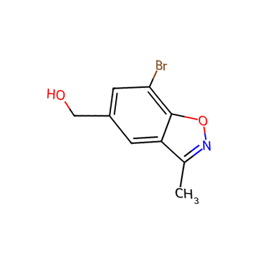 Cc1noc2c(Br)cc(CO)cc12